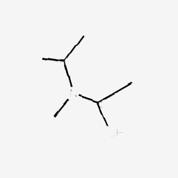 [CH2]C(O)N(C)C(C)C